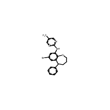 FC(F)(F)c1cnc(Nc2cc(Br)cc3c2OCCCC3c2ccccc2)nc1